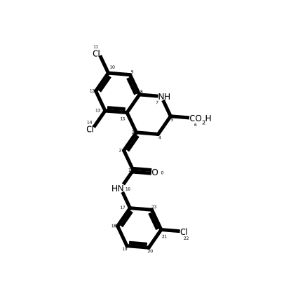 O=C(C=C1CC(C(=O)O)Nc2cc(Cl)cc(Cl)c21)Nc1cccc(Cl)c1